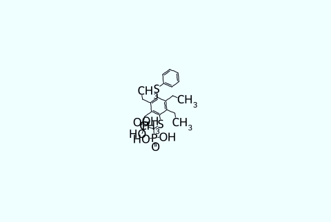 CCc1c(CC)c(SC(P(=O)(O)O)P(=O)(O)O)c(CC)c(CC)c1Sc1ccccc1